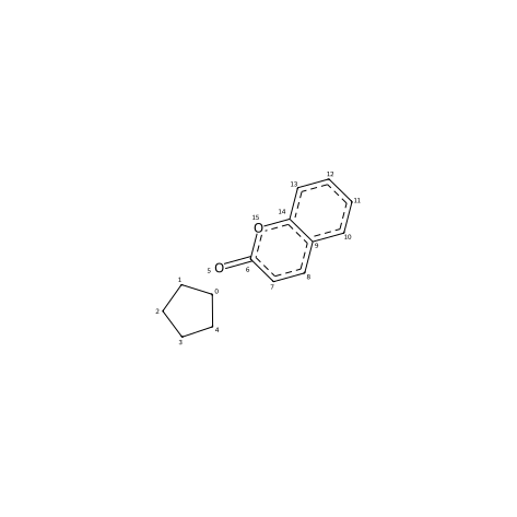 C1CCCC1.O=c1ccc2ccccc2o1